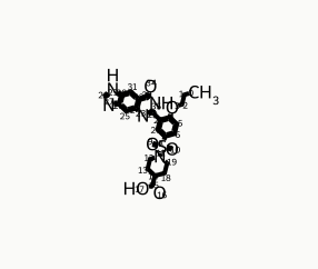 CCCOc1ccc(S(=O)(=O)N2CCC(C(=O)O)CC2)cc1-c1nc2cc3nc[nH]c3cc2c(=O)[nH]1